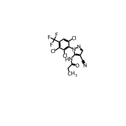 CCC(=O)Nc1c(C#N)cnn1-c1c(Cl)cc(C(F)(F)F)c(Cl)c1Cl